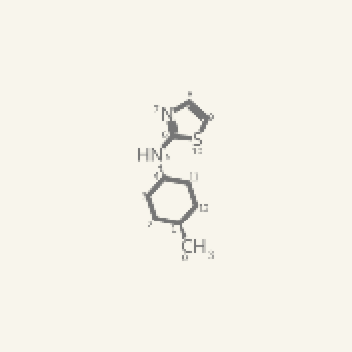 C[C@H]1CC[C@H](Nc2nccs2)CC1